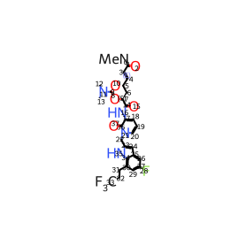 CNC(=O)/C=C/CC[C@H](OC(=O)N(C)C)C(=O)Nc1cccn(Cc2cc3cc(F)cc(CCC(F)(F)F)c3[nH]2)c1=O